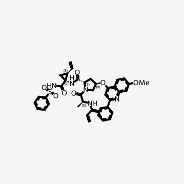 C=CC(=C)N[C@@H](C)C(=O)N1C[C@H](Oc2cc(-c3ccccc3)nc3cc(OC)ccc23)C[C@H]1C(=O)N[C@]1(C(=O)NS(=O)(=O)c2ccccc2)C[C@H]1C=C